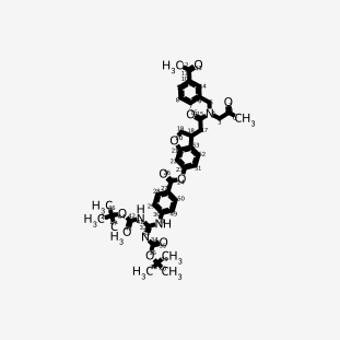 CC(=O)CN(Cc1cccc(C(C)=O)c1)C(=O)CC1COc2cc(OC(=O)c3ccc(N/C(=N\C(=O)OC(C)(C)C)NC(=O)OC(C)(C)C)cc3)ccc21